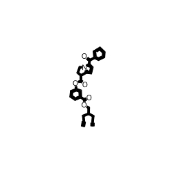 C#CCC(CC#C)COC(=O)c1cccc(OC(=O)C2CCn3c(C(=O)c4ccccc4)ccc32)c1